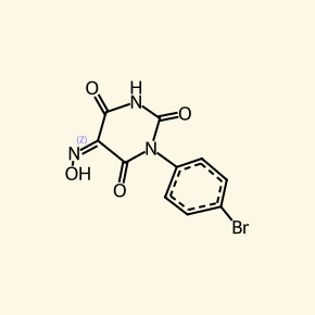 O=C1NC(=O)N(c2ccc(Br)cc2)C(=O)/C1=N\O